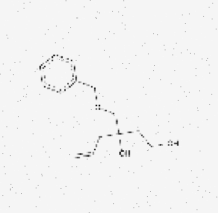 C=CCC(O)(CCO)COCc1ccccc1